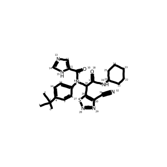 CC(C)(C)c1ccc(N(C(=O)c2cnc[nH]2)C(C(=O)NC2CCCCC2)c2snnc2C#N)cc1